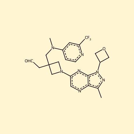 Cc1nn(C2COC2)c2nc(N3CC(CC=O)(CN(C)c4ccnc(C(F)(F)F)c4)C3)cnc12